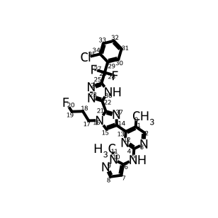 Cc1cnc(Nc2ccnn2C)nc1-c1cn(CCCF)c(-c2nnc(C(F)(F)c3ccccc3Cl)[nH]2)n1